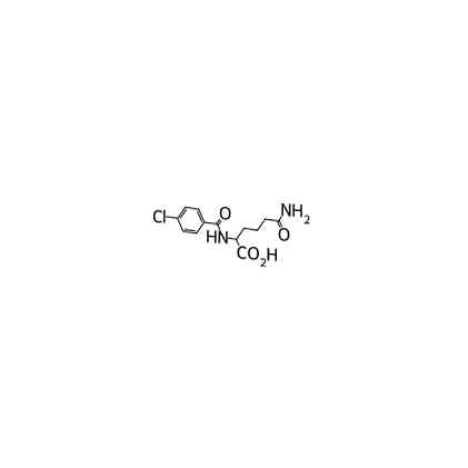 NC(=O)CCCC(NC(=O)c1ccc(Cl)cc1)C(=O)O